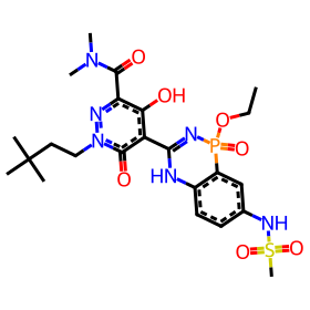 CCOP1(=O)N=C(c2c(O)c(C(=O)N(C)C)nn(CCC(C)(C)C)c2=O)Nc2ccc(NS(C)(=O)=O)cc21